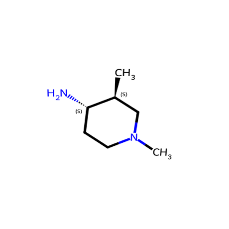 C[C@H]1CN(C)CC[C@@H]1N